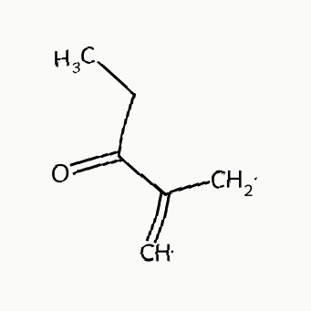 [CH]=C([CH2])C(=O)CC